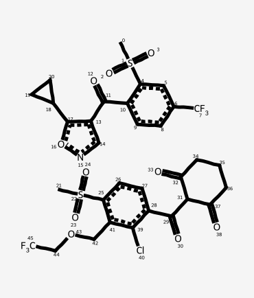 CS(=O)(=O)c1cc(C(F)(F)F)ccc1C(=O)c1cnoc1C1CC1.CS(=O)(=O)c1ccc(C(=O)C2C(=O)CCCC2=O)c(Cl)c1COCC(F)(F)F